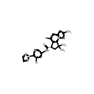 Cc1cc2cc(F)c3c(n2n1)C(C)(C)C[C@@H]3C(=O)Nc1cnc(-n2nccn2)c(Cl)c1